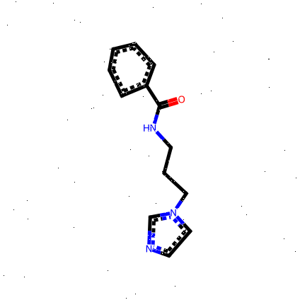 O=C(NCCCn1ccnc1)c1cc[c]cc1